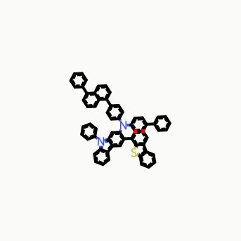 c1ccc(-c2ccc(N(c3ccc(-c4cccc5c(-c6ccccc6)cccc45)cc3)c3cc4c(cc3-c3cccc5c3sc3ccccc35)c3ccccc3n4-c3ccccc3)cc2)cc1